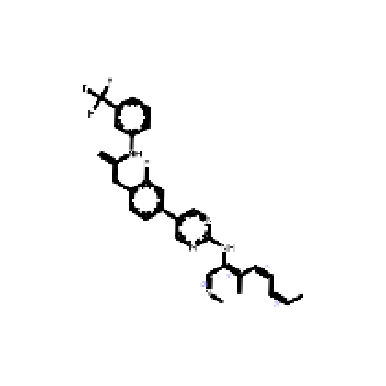 C=C(Cc1ccc(-c2cnc(NC(/C=N\C)=C(C)\C=C/C=C\C)nc2)cc1F)Nc1cccc(C(F)(F)F)c1